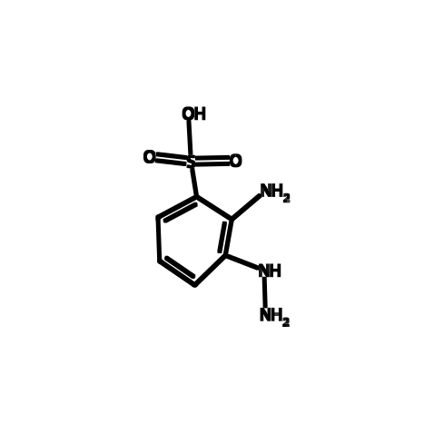 NNc1cccc(S(=O)(=O)O)c1N